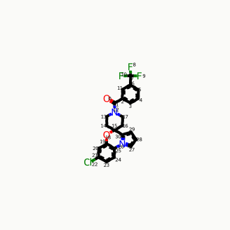 O=C(c1cccc(C(F)(F)F)c1)N1CCC2(CC1)Oc1cc(Cl)ccc1-n1cccc12